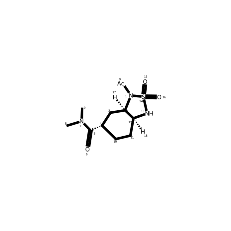 CC(=O)N1[C@@H]2C[C@@H](C(=O)N(C)C)CC[C@@H]2NS1(=O)=O